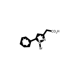 O=C(O)Cc1cc(-c2ccccc2)n(Br)n1